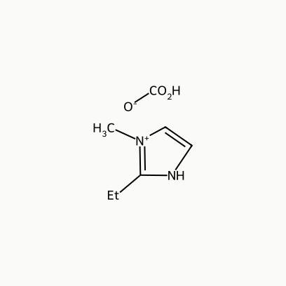 CCc1[nH]cc[n+]1C.O=C([O-])O